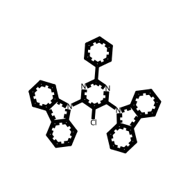 Clc1c(-n2c3ccccc3c3ccccc32)nc(-c2ccccc2)nc1-n1c2ccccc2c2ccccc21